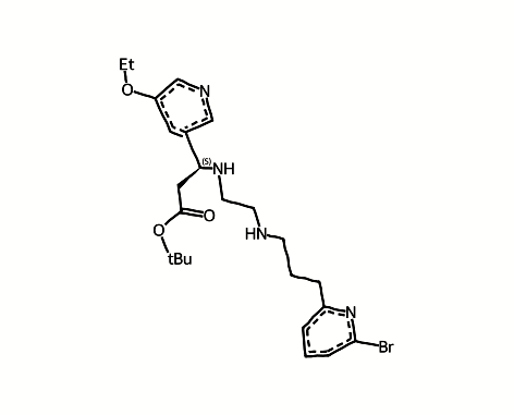 CCOc1cncc([C@H](CC(=O)OC(C)(C)C)NCCNCCCc2cccc(Br)n2)c1